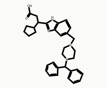 O=C(O)CC(c1nc2cc(CN3CCN(C(c4ccccc4)c4ccccc4)CC3)ccc2[nH]1)C1CCCC1